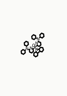 O=P(c1cccc(N(c2ccccc2)c2ccccc2)n1)(c1cccc(N(c2ccccc2)c2ccccc2)n1)n1c2ccccc2c2ccccc21